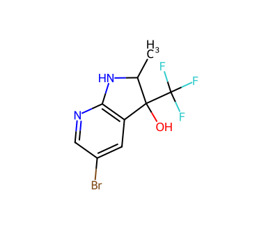 CC1Nc2ncc(Br)cc2C1(O)C(F)(F)F